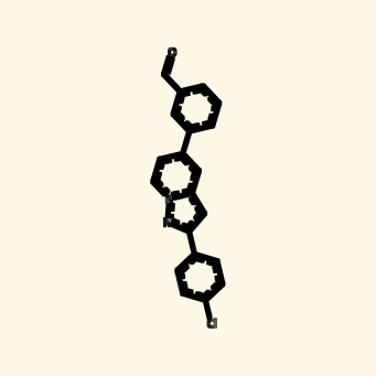 O=Cc1cccc(-c2ccn3nc(-c4ccc(Cl)cc4)cc3c2)c1